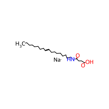 CCCCCCCCC=CCCCCCCCCNC(=O)CCC(=O)O.[Na]